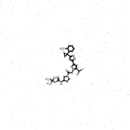 Cc1ccccc1C1(c2noc(-c3cc(C(F)F)n(CC(=O)N4CCC(NC(=O)OC(C)(C)C)C4)n3)n2)CC1